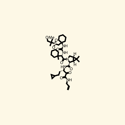 C=CCNC(=O)C(=O)[C@H](CCC1CC1)NC(=O)[C@@H]1[C@@H]2[C@H](CN1C(=O)[C@@H](NC(=O)NC1(CS(=O)(=O)C(C)(C)COC)CCCCC1)C1(C)CCCCC1)C2(C)C